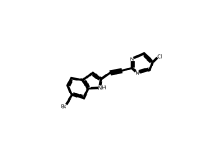 Clc1cnc(C#Cc2cc3ccc(Br)cc3[nH]2)nc1